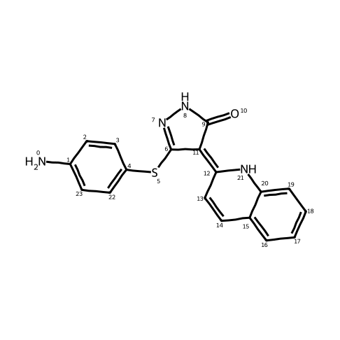 Nc1ccc(SC2=NNC(=O)C2=C2C=Cc3ccccc3N2)cc1